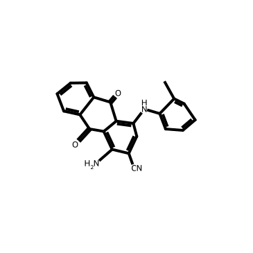 Cc1ccccc1Nc1cc(C#N)c(N)c2c1C(=O)c1ccccc1C2=O